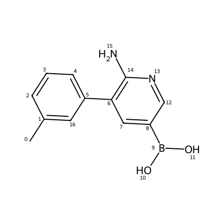 Cc1cccc(-c2cc(B(O)O)cnc2N)c1